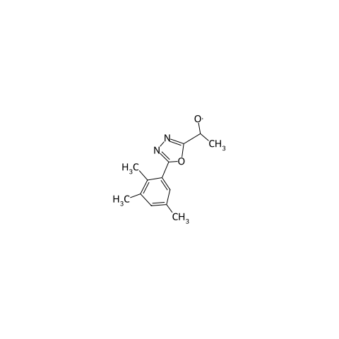 Cc1cc(C)c(C)c(-c2nnc(C(C)[O])o2)c1